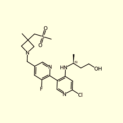 C[C@@H](CCO)Nc1cc(Cl)ncc1-c1ncc(CN2CC(C)(CS(C)(=O)=O)C2)cc1F